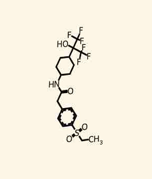 CCS(=O)(=O)c1ccc(CC(=O)NC2CCC(C(O)(C(F)(F)F)C(F)(F)F)CC2)cc1